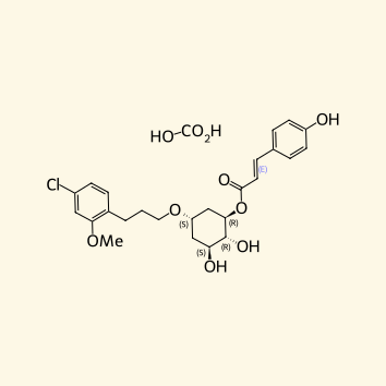 COc1cc(Cl)ccc1CCCO[C@H]1C[C@H](O)[C@@H](O)[C@H](OC(=O)/C=C/c2ccc(O)cc2)C1.O=C(O)O